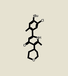 Cc1cc(C(C)(C)C)c(Cl)cc1-c1cc(=O)c(C2CCOCC2)c(C)[nH]1